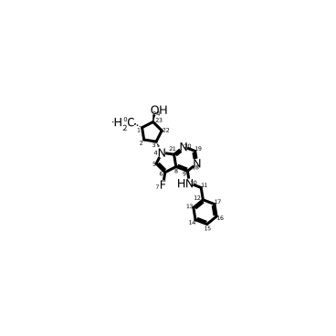 [CH2][C@H]1C[C@@H](n2cc(F)c3c(NCc4ccccc4)ncnc32)C[C@@H]1O